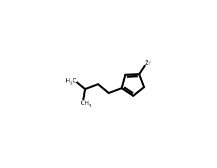 CC(C)CCC1=CC[C]([Zr])=C1